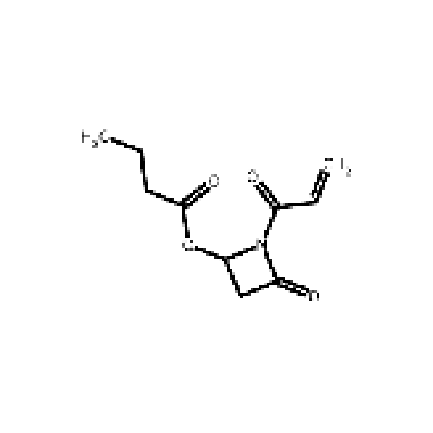 C=CC(=O)N1C(=O)CC1OC(=O)CCC